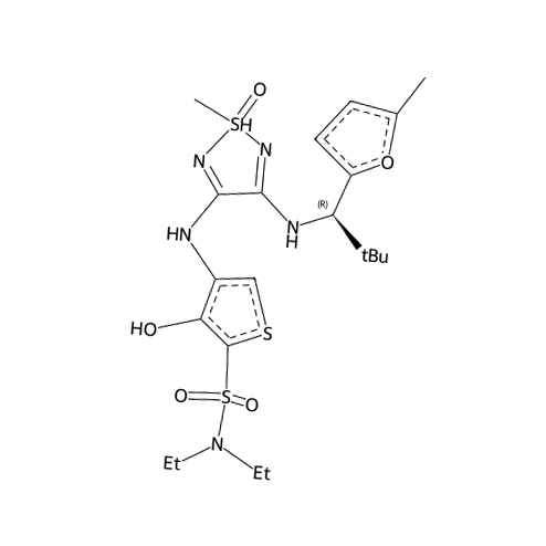 CCN(CC)S(=O)(=O)c1scc(NC2=N[SH](C)(=O)N=C2N[C@@H](c2ccc(C)o2)C(C)(C)C)c1O